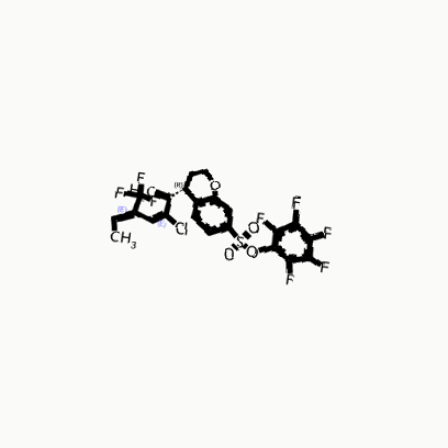 C=C(/C(Cl)=C\C(=C/C)C(F)(F)F)[C@@H]1CCOc2cc(S(=O)(=O)Oc3c(F)c(F)c(F)c(F)c3F)ccc21